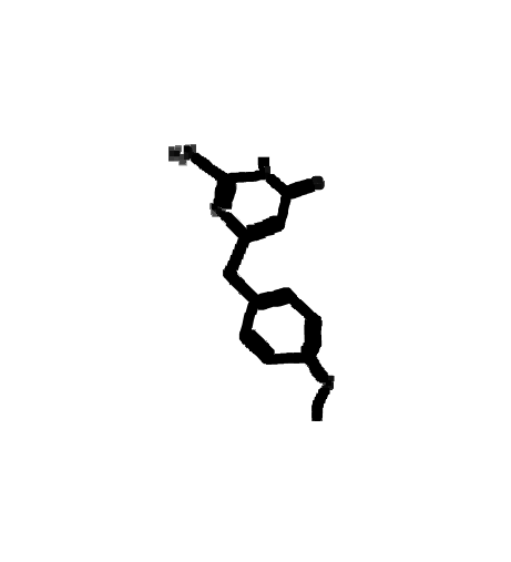 CSc1ccc(Cc2cc(=O)[nH]c(N)n2)cc1